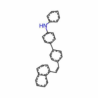 C(=C/c1cccc2ccccc12)/c1ccc(-c2ccc(Nc3ccccc3)cc2)cc1